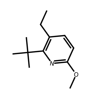 CCc1ccc(OC)nc1C(C)(C)C